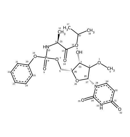 COC1[C@@H](O)[C@@H](COP(=O)(N[C@@H](C)C(=O)OC(C)C)Oc2ccccc2)O[C@H]1n1ccc(=O)[nH]c1=O